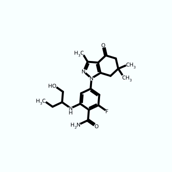 CCC(CO)Nc1cc(-n2nc(C)c3c2CC(C)(C)CC3=O)cc(F)c1C(N)=O